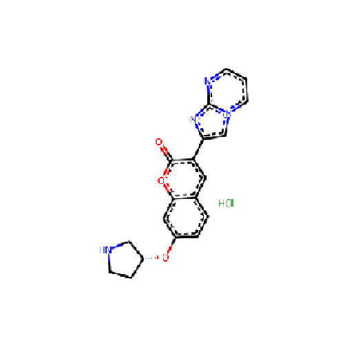 Cl.O=c1oc2cc(O[C@@H]3CCNC3)ccc2cc1-c1cn2cccnc2n1